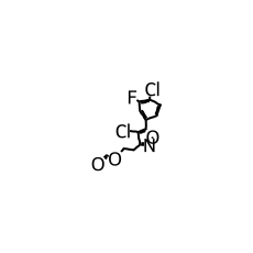 O=COCCc1noc(-c2ccc(Cl)c(F)c2)c1Cl